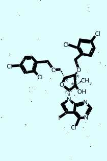 C[C@@]1(O)[C@H](OCc2ccc(Cl)cc2Cl)[C@@H](COCc2ccc(Cl)cc2Cl)O[C@H]1n1cc(I)c2c(Cl)ncnc21